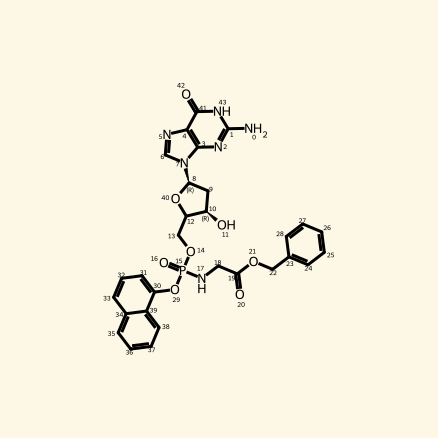 Nc1nc2c(ncn2[C@H]2C[C@@H](O)C(COP(=O)(NCC(=O)OCc3ccccc3)Oc3cccc4ccccc34)O2)c(=O)[nH]1